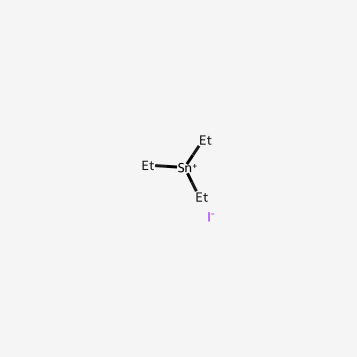 C[CH2][Sn+]([CH2]C)[CH2]C.[I-]